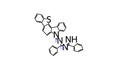 N=C(/N=C(\N=C\n1c2ccccc2c2c3sc4ccccc4c3ccc21)c1ccccc1)c1ccccc1